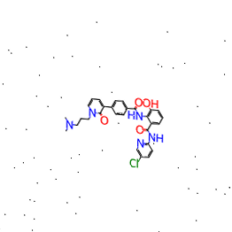 CN(C)CCCn1cccc(-c2ccc(C(=O)Nc3c(O)cccc3C(=O)Nc3ccc(Cl)cn3)cc2)c1=O